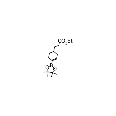 CCOC(=O)CCC1CC=C(B2OC(C)(C)C(C)(C)O2)CC1